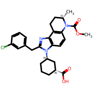 COC(=O)N1c2ccc3c(nc(Cc4cccc(Cl)c4)n3[C@@H]3CCC[C@@H](C(=O)O)C3)c2CC[C@@H]1C